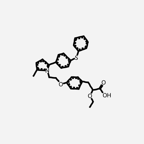 CCOC(Cc1ccc(OCCn2c(C)ccc2-c2ccc(Sc3ccccc3)cc2)cc1)C(=O)O